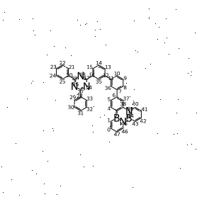 C1=CB2c3ccc(-c4cccc(-c5cccc(-c6nc(-c7ccccc7)nc(-c7ccccc7)n6)c5)c4)cc3N3C=CC=CB3N2C=C1